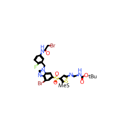 CSc1sc(/N=C/NC(=O)OC(C)(C)C)cc1S(=O)(=O)c1cc(Br)c2ncn(Cc3cc(NC(=O)CBr)ccc3F)c2c1